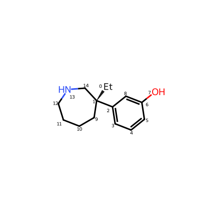 CC[C@@]1(c2cccc(O)c2)CCCCNC1